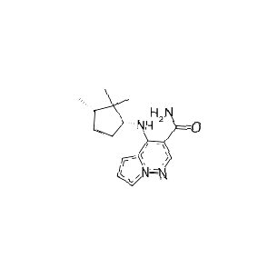 C[C@H]1CC[C@@H](Nc2c(C(N)=O)cnn3cccc23)C1(C)C